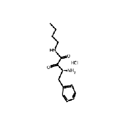 CCCCNC(=O)C(=O)[C@@H](N)Cc1ccccc1.Cl